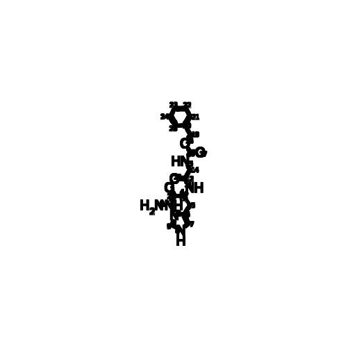 NNC(=O)[C@H](Cc1c[nH]cn1)NC(=O)CNC(=O)OCc1ccccc1